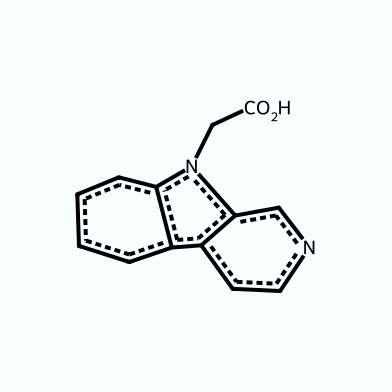 O=C(O)Cn1c2ccccc2c2ccncc21